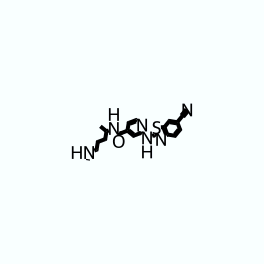 CNCCCC(C)NC(=O)c1ccnc(Nc2nc3ccc(C#N)cc3s2)c1